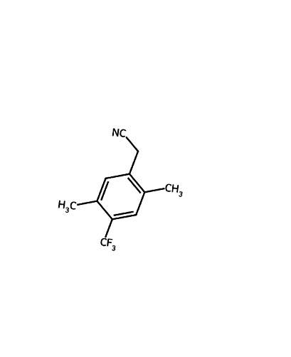 Cc1cc(C(F)(F)F)c(C)cc1CC#N